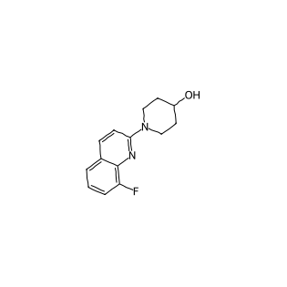 OC1CCN(c2ccc3cccc(F)c3n2)CC1